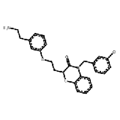 NCCc1cccc(OCCC2Oc3ccccc3N(Cc3cccc(Cl)c3)C2=O)c1